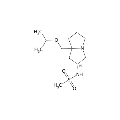 CC(C)OCC12CCCN1C[C@H](NS(C)(=O)=O)C2